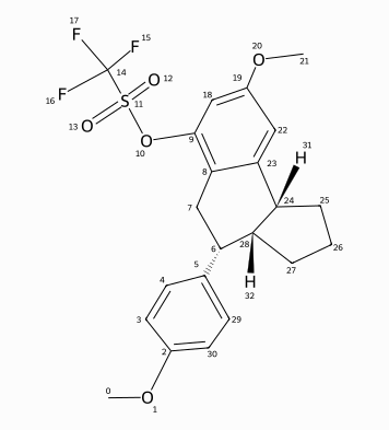 COc1ccc([C@@H]2Cc3c(OS(=O)(=O)C(F)(F)F)cc(OC)cc3[C@@H]3CCC[C@H]23)cc1